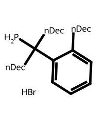 Br.CCCCCCCCCCc1ccccc1C(P)(CCCCCCCCCC)CCCCCCCCCC